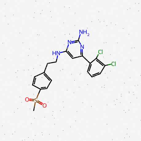 CS(=O)(=O)c1ccc(CCNc2cc(-c3cccc(Cl)c3Cl)nc(N)n2)cc1